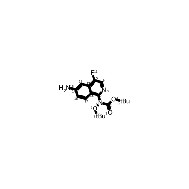 CC(C)(C)OC(=O)N(OC(C)(C)C)c1ncc(F)c2cc(N)ccc12